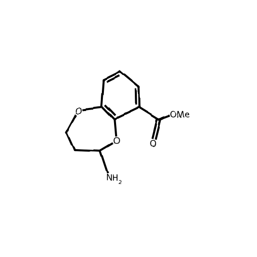 COC(=O)c1cccc2c1OC(N)CCO2